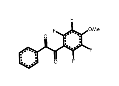 COc1c(F)c(F)c(C(=O)C(=O)c2ccccc2)c(F)c1F